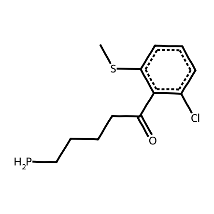 CSc1cccc(Cl)c1C(=O)CCCCP